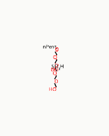 CCCCCOCCOCCOCCOCCOCCO.O=S(=O)(O)O